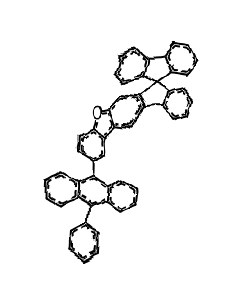 c1ccc(-c2c3ccccc3c(-c3ccc4oc5cc6c(cc5c4c3)-c3ccccc3C63c4ccccc4-c4ccccc43)c3ccccc23)cc1